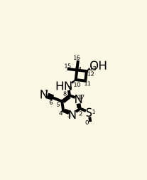 CSc1ncc(C#N)c(N[C@@H]2C[C@H](O)C2(C)C)n1